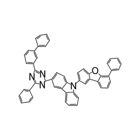 c1ccc(-c2cccc(-c3nc(-c4ccccc4)nc(-c4ccc5c(c4)c4ccccc4n5-c4ccc5oc6c(-c7ccccc7)cccc6c5c4)n3)c2)cc1